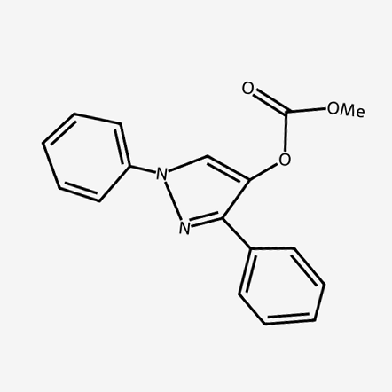 COC(=O)Oc1cn(-c2ccccc2)nc1-c1ccccc1